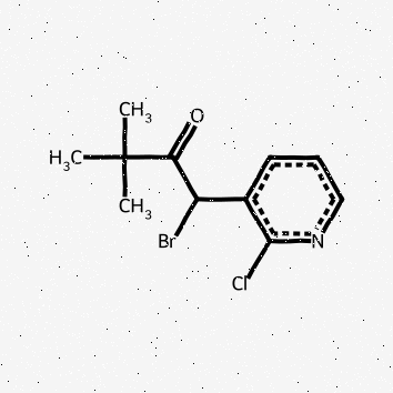 CC(C)(C)C(=O)C(Br)c1cccnc1Cl